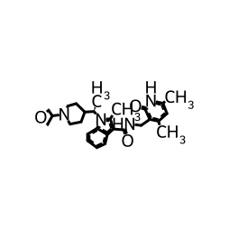 Cc1cc(C)c(CNC(=O)c2c(C)n([C@@H](C)C3CCN(C4COC4)CC3)c3ccccc23)c(=O)[nH]1